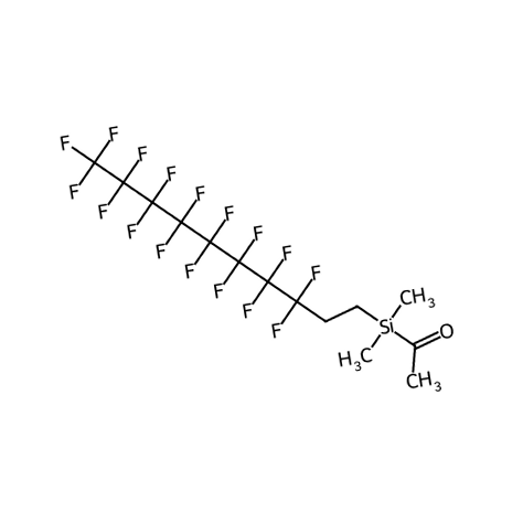 CC(=O)[Si](C)(C)CCC(F)(F)C(F)(F)C(F)(F)C(F)(F)C(F)(F)C(F)(F)C(F)(F)C(F)(F)F